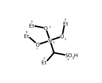 [CH2]CC([Si](OCC)(OCC)OCC)S(=O)(=O)O